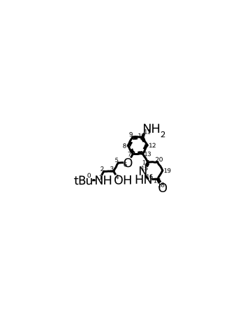 CC(C)(C)NCC(O)COc1ccc(N)cc1C1=NNC(=O)CC1